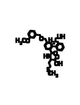 COc1cccc(COCc2ccc(C(=O)NC(CCSC)C(=O)O)c(-c3ccccc3C)c2)c1.[LiH]